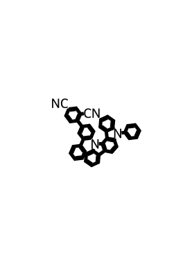 N#Cc1ccc(-c2ccc(-n3c4ccccc4c4ccc5c(c6ccccc6n5-c5ccccc5)c43)c(-c3ccccc3)c2)c(C#N)c1